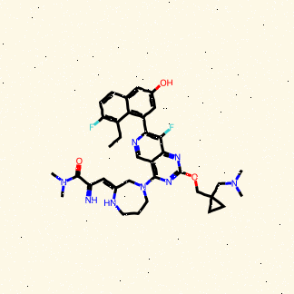 CCc1c(F)ccc2cc(O)cc(-c3ncc4c(N5CCCN/C(=C\C(=N)C(=O)N(C)C)C5)nc(OCC5(CN(C)C)CC5)nc4c3F)c12